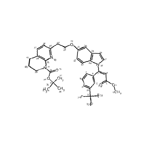 COC(=O)C=C(c1cccc(C(F)(F)F)c1)n1ccc2cc(OCCc3ccc4c(n3)N(C(=O)OC(C)(C)C)CCC4)ccc21